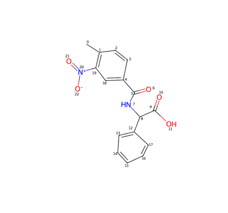 Cc1ccc(C(=O)NC(C(=O)O)c2ccccc2)cc1[N+](=O)[O-]